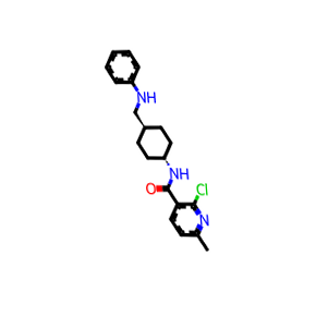 Cc1ccc(C(=O)N[C@H]2CC[C@H](CNc3ccccc3)CC2)c(Cl)n1